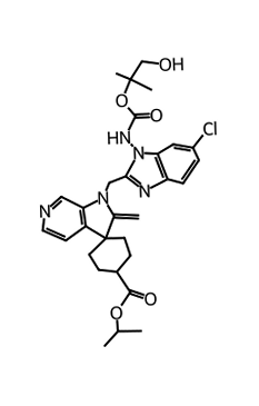 C=C1N(Cc2nc3ccc(Cl)cc3n2NC(=O)OC(C)(C)CO)c2cnccc2C12CCC(C(=O)OC(C)C)CC2